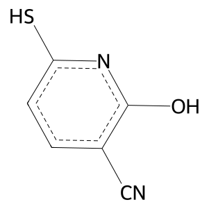 N#Cc1ccc(S)nc1O